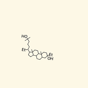 CC[C@@H](CCCC(C)(C)O)C1CCC2C3CCC4CC(O)(CC)CCC4(C)C3CCC21C